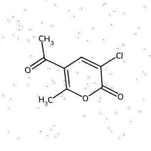 CC(=O)c1cc(Cl)c(=O)oc1C